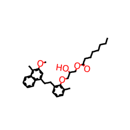 CCCCCCCC(=O)OCC(O)COc1c(C)cccc1CCc1cc(OC)c(C)c2ccccc12